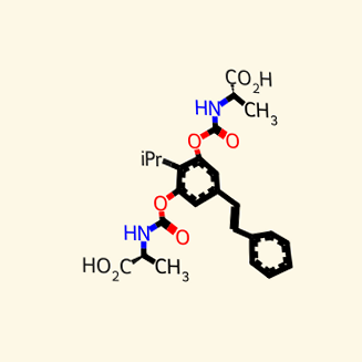 CC(C)c1c(OC(=O)N[C@@H](C)C(=O)O)cc(/C=C/c2ccccc2)cc1OC(=O)N[C@@H](C)C(=O)O